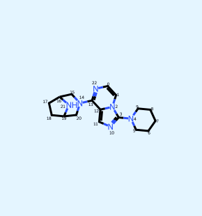 c1cn2c(N3CCCCC3)ncc2c(N2CC3CCC(C2)N3)n1